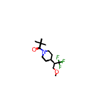 COCC(C1CCN(C(=O)C(C)(C)C)CC1)C(F)(F)F